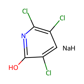 Oc1nc(Cl)c(Cl)cc1Cl.[NaH]